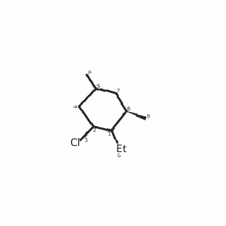 CCC1C(Cl)CC(C)C[C@H]1C